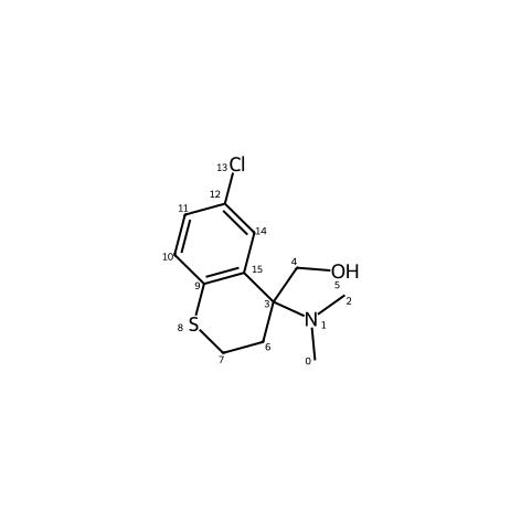 CN(C)C1(CO)CCSc2ccc(Cl)cc21